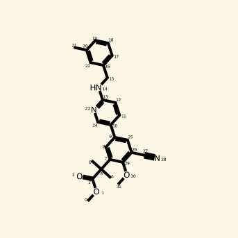 COC(=O)C(C)(C)c1cc(-c2ccc(NCc3cccc(C)c3)nc2)cc(C#N)c1OC